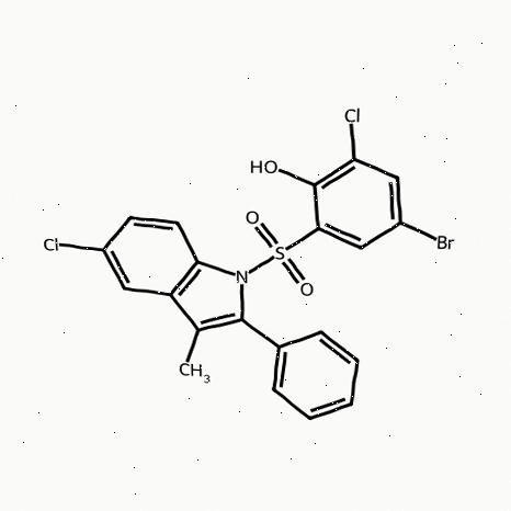 Cc1c(-c2ccccc2)n(S(=O)(=O)c2cc(Br)cc(Cl)c2O)c2ccc(Cl)cc12